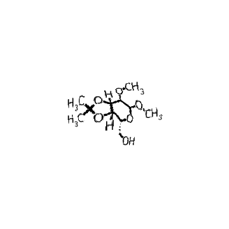 CO[C@H]1O[C@H](CO)[C@@H]2OC(C)(C)O[C@@H]2[C@H]1OC